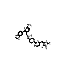 Nc1ccc(CNCC2CCN(c3nccc(C=C4SC(=O)NC4=O)n3)CC2)c(-c2ccc3c(c2)OCO3)n1